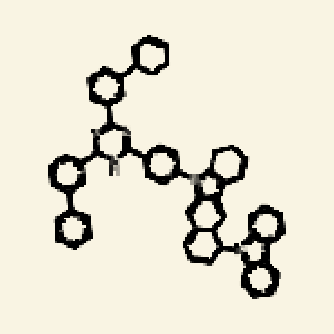 C1=CCCC(c2cccc(C3=NC(c4cccc(-c5ccccc5)c4)NC(c4ccc(-n5c6c(c7c5=CC5=CC=CC(n8c9ccccc9c9ccccc98)C5C=7)C=CCC6)cc4)=N3)c2)=C1